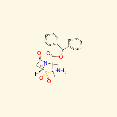 CC1(C(=O)OC(c2ccccc2)c2ccccc2)N2C(=O)C[C@H]2S(=O)(=O)C1(C)N